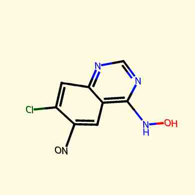 O=Nc1cc2c(NO)ncnc2cc1Cl